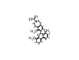 CCC(CC)N1CCc2ccc(COC3=C(C)CCC=C3c3cccc(C)n3)c(C)c2CC1